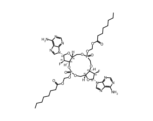 CCCCCCCC(=O)OCOP1(=O)CO[C@H]2[C@@H](F)[C@H](n3cnc4c(N)ncnc43)O[C@@H]2COP(=O)(OCOC(=O)CCCCCCC)O[C@H]2[C@@H](F)[C@H](n3cnc4c(N)ncnc43)O[C@@H]2CO1